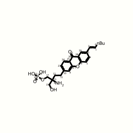 CCCCC=Cc1ccc2oc3cc(CCC(N)(CO)COP(=O)(O)O)ccc3c(=O)c2c1